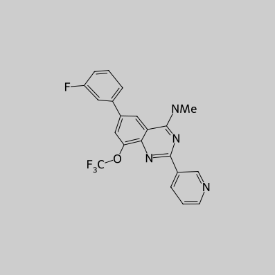 CNc1nc(-c2cccnc2)nc2c(OC(F)(F)F)cc(-c3cccc(F)c3)cc12